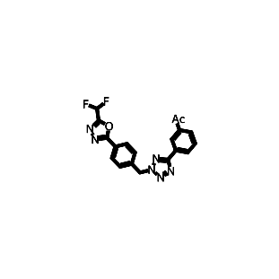 CC(=O)c1cccc(-c2nnn(Cc3ccc(-c4nnc(C(F)F)o4)cc3)n2)c1